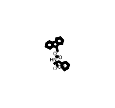 CC(Cc1ccccc1)(NC(=O)OCC1c2ccccc2-c2ccccc21)C(=O)O